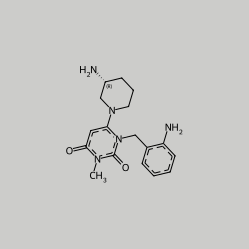 Cn1c(=O)cc(N2CCC[C@@H](N)C2)n(Cc2ccccc2N)c1=O